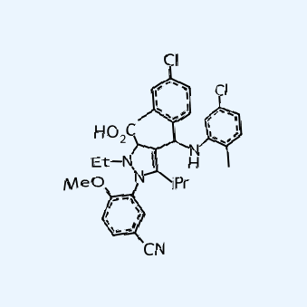 CCN1C(C(=O)O)C(C(Nc2cc(Cl)ccc2C)c2ccc(Cl)cc2C)=C(C(C)C)N1c1cc(C#N)ccc1OC